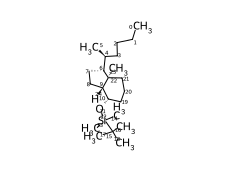 CCCC[C@H](C)[C@H]1CC[C@H]2[C@@H](O[Si](C)(C)C(C)(C)C)CCC[C@]12C